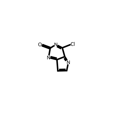 O=C1N=C(Cl)C2=NC=CC2=N1